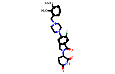 COc1cccc(CN2CCN(c3cc4c(cc3F)C(=O)N(C3CCC(=O)NC3=O)C4)CC2)c1C